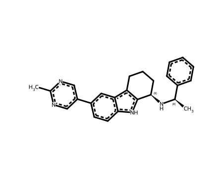 Cc1ncc(-c2ccc3[nH]c4c(c3c2)CCC[C@H]4N[C@H](C)c2ccccc2)cn1